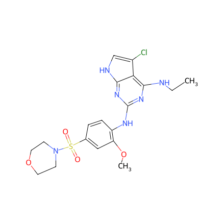 CCNc1nc(Nc2ccc(S(=O)(=O)N3CCOCC3)cc2OC)nc2[nH]cc(Cl)c12